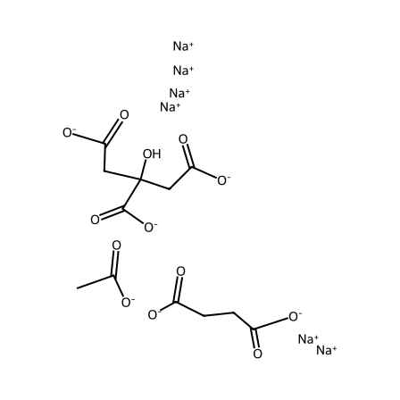 CC(=O)[O-].O=C([O-])CC(O)(CC(=O)[O-])C(=O)[O-].O=C([O-])CCC(=O)[O-].[Na+].[Na+].[Na+].[Na+].[Na+].[Na+]